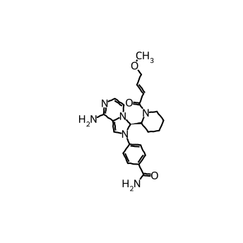 COCC=CC(=O)N1CCCCC1[C@@H]1N2C=CN=C(N)C2=CN1c1ccc(C(N)=O)cc1